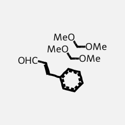 COCOC.COCOC.O=CC=Cc1ccccc1